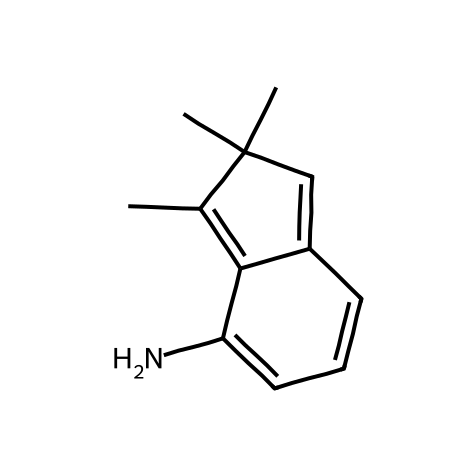 CC1=c2c(N)cccc2=CC1(C)C